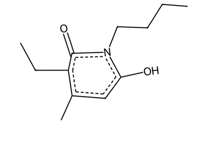 CCCCn1c(O)cc(C)c(CC)c1=O